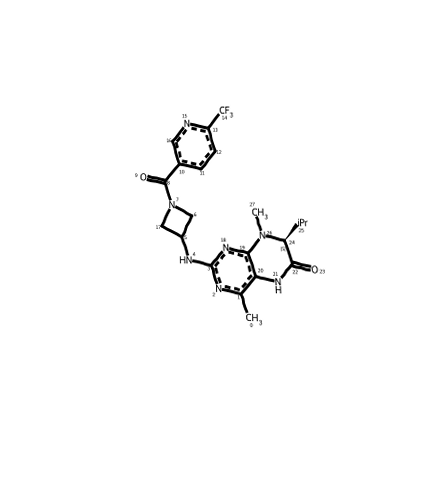 Cc1nc(NC2CN(C(=O)c3ccc(C(F)(F)F)nc3)C2)nc2c1NC(=O)[C@H](C(C)C)N2C